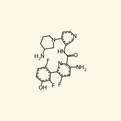 Nc1cc(F)c(-c2c(F)ccc(O)c2F)nc1C(=O)Nc1cnccc1N1CCCC(N)C1